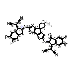 CCC1(CC)c2cc(/N=C3\C(=O)c4cc(F)c(F)cc4C3=C(C#N)C#N)sc2-c2sc(/N=C3\Cc4cc(F)c(F)cc4C3=C(C#N)C#N)cc21